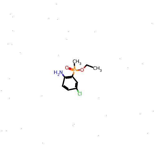 CCOP(C)(=O)c1cc(Cl)ccc1N